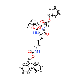 CC(C)(C)OC(=O)NC(CCCCNC(=O)OCC1c2ccccc2-c2ccccc21)C(=O)NCC(=O)OCc1ccccc1